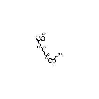 C/C=C(/CCNC(=O)CCCC(=O)Oc1ccc2[nH]cc(CCN)c2c1)c1cccc(O)c1